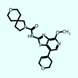 COc1ncc(C2=CCOCC2)c2sc(NC(=O)N3CCC4(CCOCC4)C3)nc12